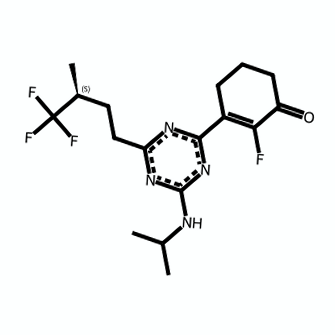 CC(C)Nc1nc(CC[C@H](C)C(F)(F)F)nc(C2=C(F)C(=O)CCC2)n1